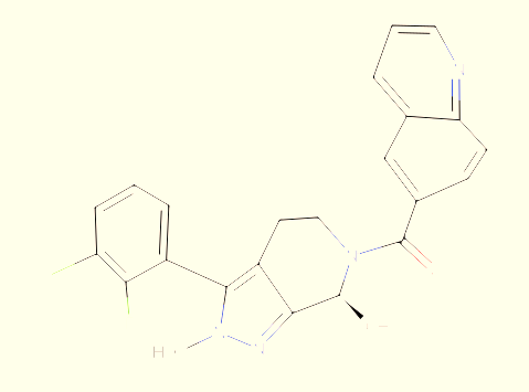 C[C@H]1c2nn(C)c(-c3cccc(F)c3F)c2CCN1C(=O)c1ccc2ncccc2c1